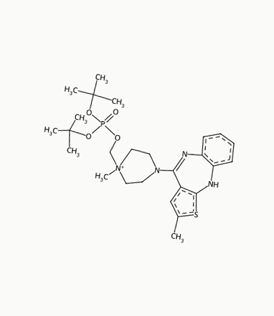 Cc1cc2c(s1)Nc1ccccc1N=C2N1CC[N+](C)(COP(=O)(OC(C)(C)C)OC(C)(C)C)CC1